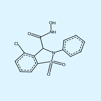 O=C(NO)C1c2c(Cl)cccc2S(=O)(=O)N1c1ccccc1